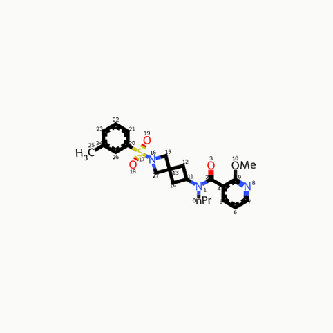 CCCN(C(=O)c1cccnc1OC)C1CC2(C1)CN(S(=O)(=O)c1cccc(C)c1)C2